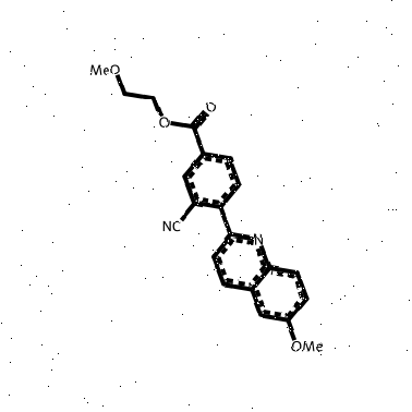 COCCOC(=O)c1ccc(-c2ccc3cc(OC)ccc3n2)c(C#N)c1